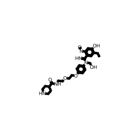 CCc1cc(C(=N)N(CO)c2ccc(OCCOCCNC(=O)C3CCNCC3)cc2)c(N=O)cc1O